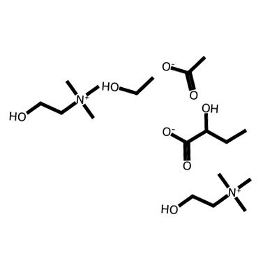 CC(=O)[O-].CCC(O)C(=O)[O-].CCO.C[N+](C)(C)CCO.C[N+](C)(C)CCO